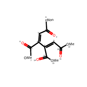 CCCCCCCCCC(=O)C=C(C(=O)OC)C(=CC(=O)OC)C(=O)OC